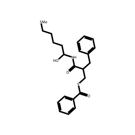 CSCCCCC(O)NC(=O)C(CSC(=O)c1ccccc1)Cc1ccccc1